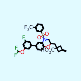 C=C1CC(CC2CN(S(=O)(=O)c3cccc(C(F)(F)F)c3)c3cc(-c4cc(F)cc(OC(F)F)c4)ccc3O2)(C(=O)O)C1